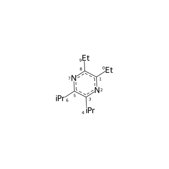 CCc1nc(C(C)C)c(C(C)C)nc1CC